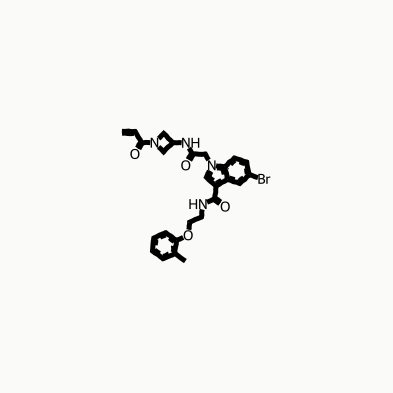 C=CC(=O)N1CC(NC(=O)Cn2cc(C(=O)NCCOc3ccccc3C)c3cc(Br)ccc32)C1